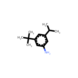 CC(C)c1cc(N)cc(C(C)(C)C)c1